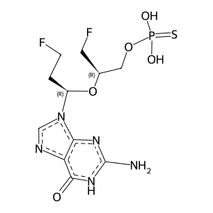 Nc1nc2c(ncn2[C@@H](CCF)O[C@@H](CF)COP(O)(O)=S)c(=O)[nH]1